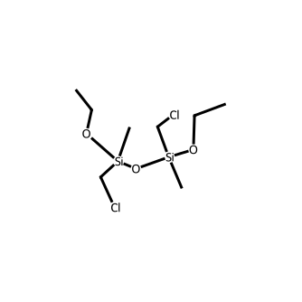 CCO[Si](C)(CCl)O[Si](C)(CCl)OCC